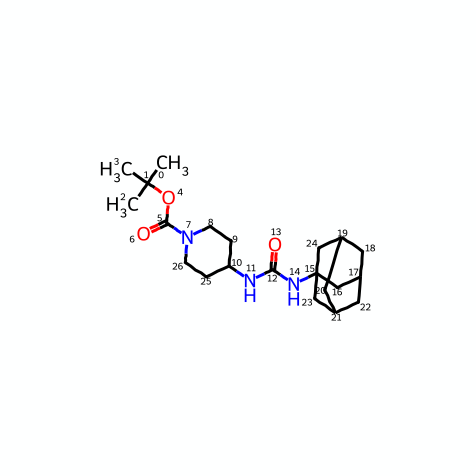 CC(C)(C)OC(=O)N1CCC(NC(=O)NC23CC4CC(CC(C4)C2)C3)CC1